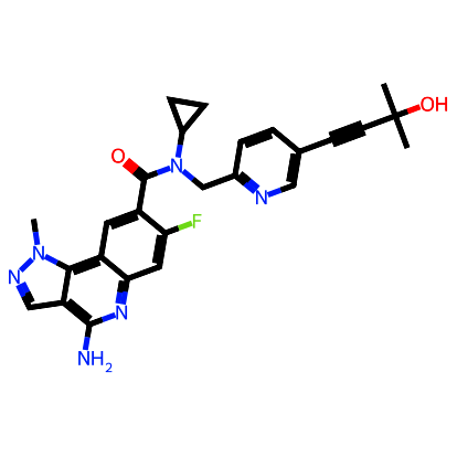 Cn1ncc2c(N)nc3cc(F)c(C(=O)N(Cc4ccc(C#CC(C)(C)O)cn4)C4CC4)cc3c21